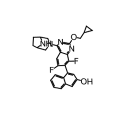 Oc1cc(-c2c(F)cc3c(N4CC5CCC(C4)N5)nc(OCC4CC4)nc3c2F)c2ccccc2c1